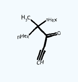 C#CC(=O)C(C)(CCCCCC)CCCCCC